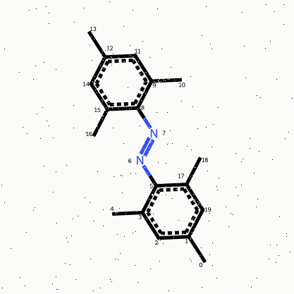 Cc1cc(C)c(/N=N/c2c(C)cc(C)cc2C)c(C)c1